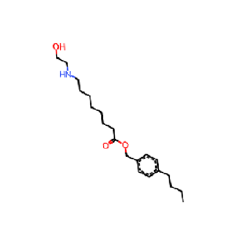 CCCCc1ccc(COC(=O)CCCCCCCNCCO)cc1